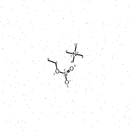 CCO[Si](=O)[O-].C[N+](C)(C)C